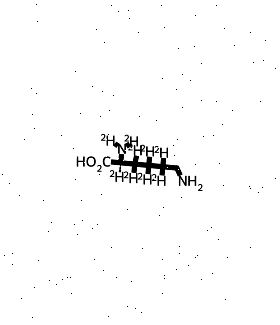 [2H]N([2H])[C@]([2H])(C(=O)O)C([2H])([2H])C([2H])([2H])C([2H])([2H])CN